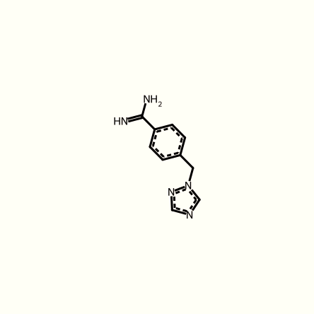 N=C(N)c1ccc(Cn2cncn2)cc1